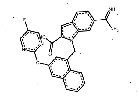 N=C(N)c1ccc2cc(C(=O)O)n(Cc3cc(Oc4ncc(F)cn4)cc4ccccc34)c2c1